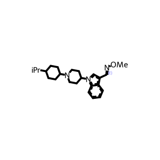 CO/N=C/c1cn(C2CCN(C3CCC(C(C)C)CC3)CC2)c2ccccc12